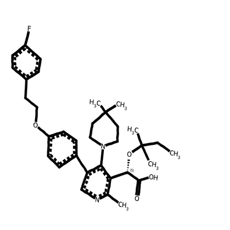 CCC(C)(C)O[C@H](C(=O)O)c1c(C)ncc(-c2ccc(OCCc3ccc(F)cc3)cc2)c1N1CCC(C)(C)CC1